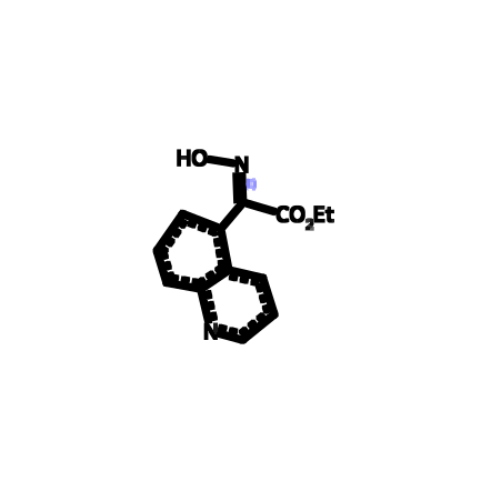 CCOC(=O)/C(=N/O)c1cccc2ncccc12